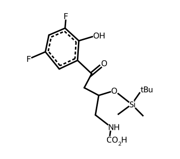 CC(C)(C)[Si](C)(C)OC(CNC(=O)O)CC(=O)c1cc(F)cc(F)c1O